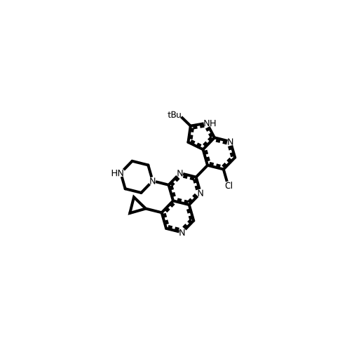 CC(C)(C)c1cc2c(-c3nc(N4CCNCC4)c4c(C5CC5)cncc4n3)c(Cl)cnc2[nH]1